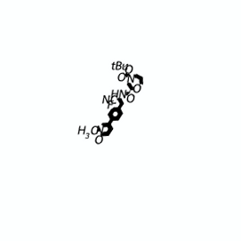 Cn1cc(-c2ccc(C[C@@H](C#N)NC(=O)[C@@H]3CN(C(=O)OC(C)(C)C)CCCO3)c(F)c2)ccc1=O